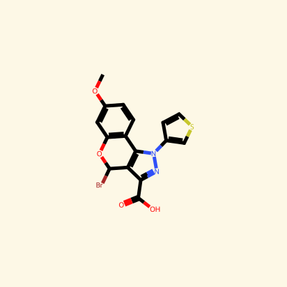 COc1ccc2c(c1)OC(Br)c1c(C(=O)O)nn(-c3ccsc3)c1-2